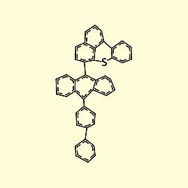 c1ccc(-c2ccc(-c3c4ccccc4c(-c4ccc5cccc6c5c4Sc4ccccc4-6)c4ccccc34)cc2)cc1